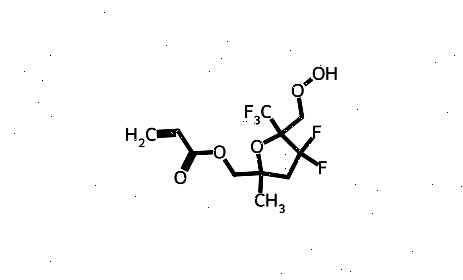 C=CC(=O)OCC1(C)CC(F)(F)C(COO)(C(F)(F)F)O1